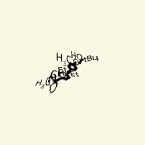 CCC(CC)(c1ccc(OCC(O)C(C)(C)C)c(C)c1)c1ccc(C(=O)N(C)C)o1